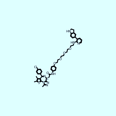 Cc1sc2c(c1C)C(c1ccc(Cl)cc1)=N[C@@H](CC(=O)Nc1ccc(OCCOCCOCCOCCNc3ncccc3-c3ccc4c(c3)CCN4)cc1)c1nnc(C)n1-2